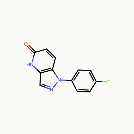 O=c1ccc2c(cnn2-c2ccc(F)cc2)[nH]1